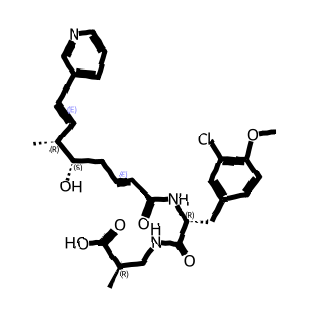 COc1ccc(C[C@@H](NC(=O)/C=C/C[C@H](O)[C@H](C)/C=C/c2cccnc2)C(=O)NC[C@@H](C)C(=O)O)cc1Cl